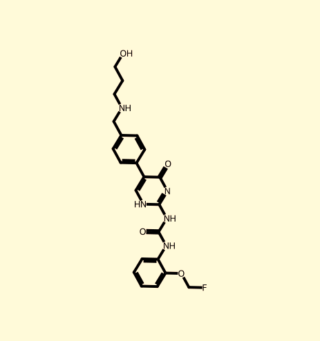 O=C(Nc1nc(=O)c(-c2ccc(CNCCCO)cc2)c[nH]1)Nc1ccccc1OCF